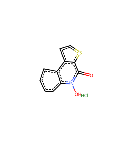 Cl.O=c1c2sccc2c2ccccc2n1O